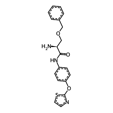 N[C@@H](COCc1ccccc1)C(=O)Nc1ccc(Oc2nccs2)cc1